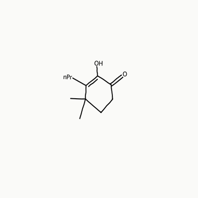 CCCC1=C(O)C(=O)CCC1(C)C